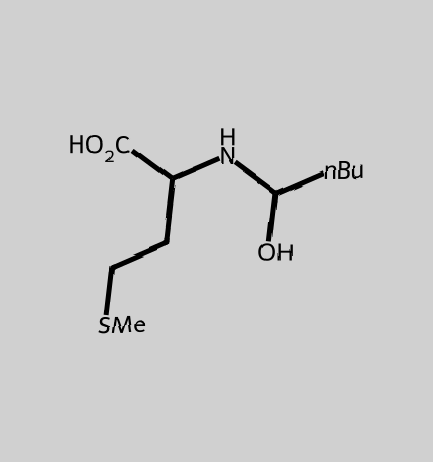 CCCCC(O)NC(CCSC)C(=O)O